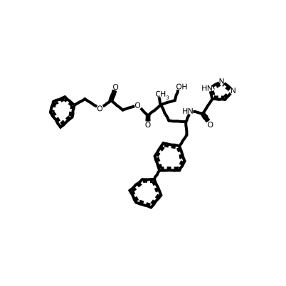 CC(CO)(CC(Cc1ccc(-c2ccccc2)cc1)NC(=O)c1cnn[nH]1)C(=O)OCC(=O)OCc1ccccc1